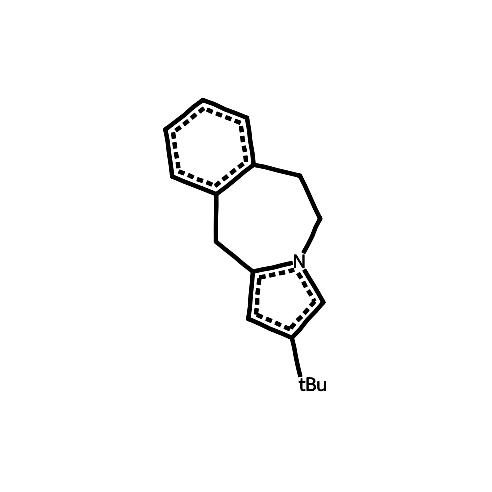 CC(C)(C)c1cc2n(c1)CCc1ccccc1C2